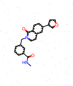 CNC(=O)c1cccc(Cn2ccc3cc(-c4ccoc4)ccc3c2=O)c1